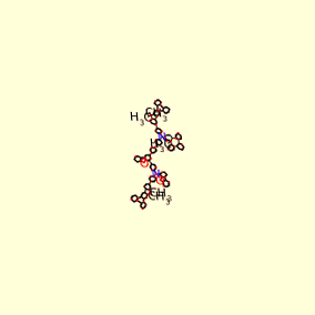 CC1(C)c2ccc(-c3ccc(N(C4=CC5(C)c6ccccc6-c6ccccc6-c6ccccc6C5C=C4)c4ccc(-c5ccc(-c6cc(-c7ccc(N(c8ccc(-c9ccc%10c(c9)C(C)(C)c9cc%11c%12ccccc%12c%12ccccc%12c%11cc9-%10)cc8)c8cccc9c8oc8ccccc89)cc7)c7oc8ccccc8c7c6)cc5)cc4)cc3)cc2-c2cc3c4ccccc4c4ccccc4c3cc21